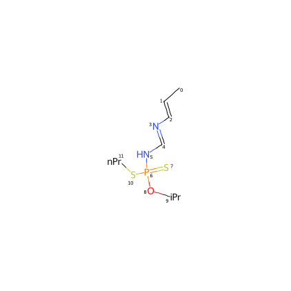 CC=CN=CNP(=S)(OC(C)C)SCCC